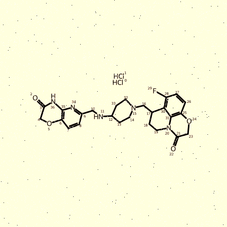 Cl.Cl.O=C1COc2ccc(CNC3CCN(CC4CCN5C(=O)COc6ccc(F)c4c65)CC3)nc2N1